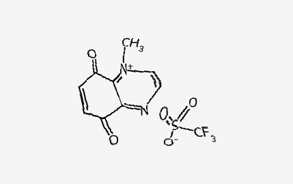 C[n+]1ccnc2c1C(=O)C=CC2=O.O=S(=O)([O-])C(F)(F)F